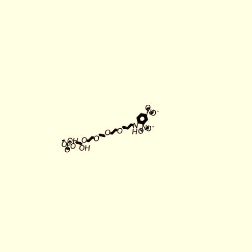 COP(=O)(O)OCC(O)OCCOCCOCCOCCCNc1ccc([N+](=O)[O-])cc1[N+](=O)[O-]